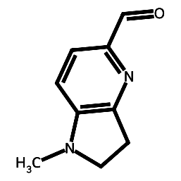 CN1CCc2nc(C=O)ccc21